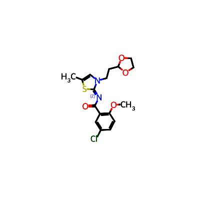 COc1ccc(Cl)cc1C(=O)/N=c1\sc(C)cn1CCC1OCCO1